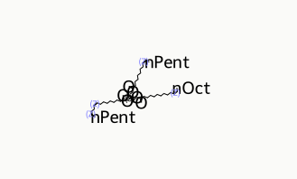 CCCCC/C=C\C/C=C\CCCCCCCC(=O)O[C@H](COC(=O)CCCCCCC/C=C\CCCCC)COC(=O)CCCCCCCCC/C=C\CCCCCCCC